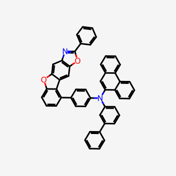 c1ccc(-c2cccc(N(c3ccc(-c4cccc5oc6cc7nc(-c8ccccc8)oc7cc6c45)cc3)c3cc4ccccc4c4ccccc34)c2)cc1